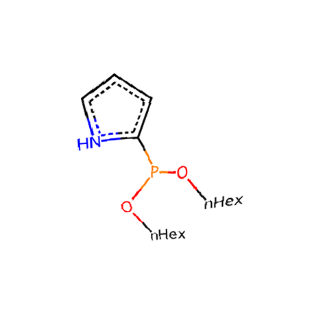 CCCCCCOP(OCCCCCC)c1ccc[nH]1